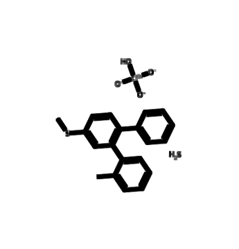 CSc1ccc(-c2ccccc2)c(-c2ccccc2C)c1.S.[O-][Cl+3]([O-])([O-])O